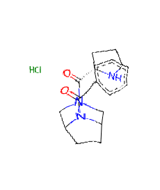 Cl.O=C([C@@H]1CCCN1)N1CC2CCC(C1)N2C(=O)c1ccccc1